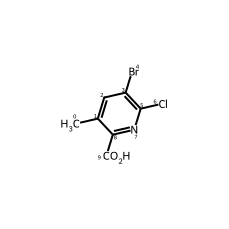 Cc1cc(Br)c(Cl)nc1C(=O)O